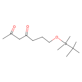 CC(=O)CC(=O)CCCO[Si](C)(C)C(C)(C)C